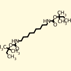 CCC(C)(C)OC(=O)NCCCCCCCCCNC(=O)OC(C)(C)CC